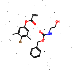 CNC(=O)Oc1cc(C)c(Br)c(C)c1.O=C(NCCO)OCc1ccccc1